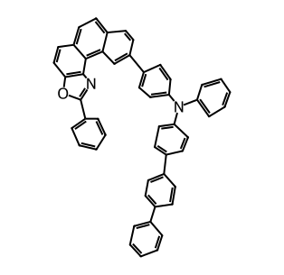 c1ccc(-c2ccc(-c3ccc(N(c4ccccc4)c4ccc(-c5ccc6ccc7ccc8oc(-c9ccccc9)nc8c7c6c5)cc4)cc3)cc2)cc1